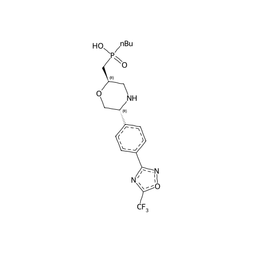 CCCCP(=O)(O)C[C@H]1CN[C@H](c2ccc(-c3noc(C(F)(F)F)n3)cc2)CO1